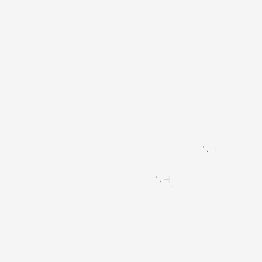 Cc1ccc(-c2ccccc2-c2cccc(N)c2N)cc1